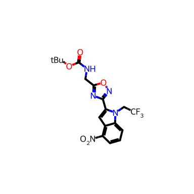 CC(C)(C)OC(=O)NCc1nc(-c2cc3c([N+](=O)[O-])cccc3n2CC(F)(F)F)no1